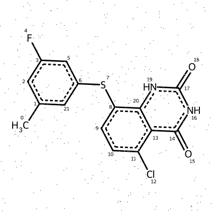 Cc1cc(F)cc(Sc2ccc(Cl)c3c(=O)[nH]c(=O)[nH]c23)c1